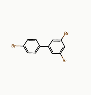 Brc1ccc(-c2cc(Br)cc(Br)c2)cc1